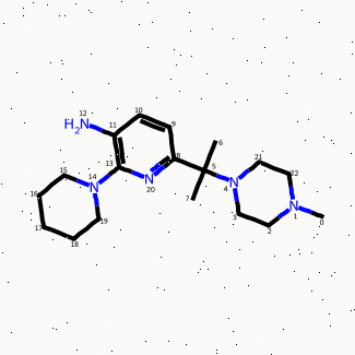 CN1CCN(C(C)(C)c2ccc(N)c(N3CCCCC3)n2)CC1